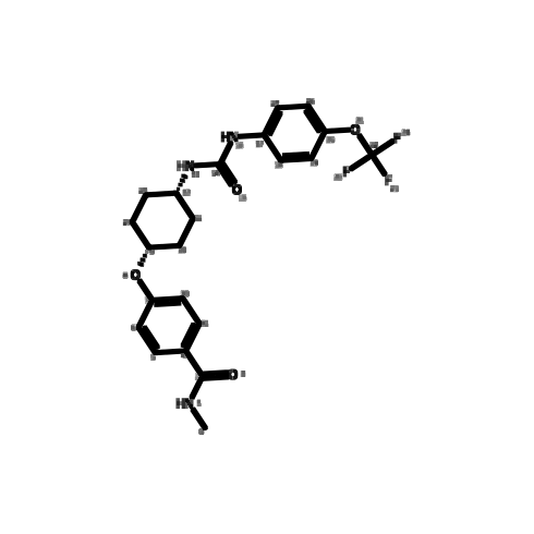 CNC(=O)c1ccc(O[C@H]2CC[C@@H](NC(=O)Nc3ccc(OC(F)(F)F)cc3)CC2)cc1